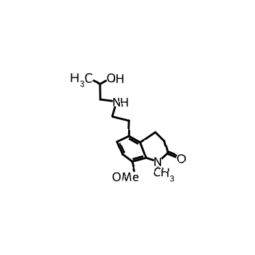 COc1ccc(CCNCC(C)O)c2c1N(C)C(=O)CC2